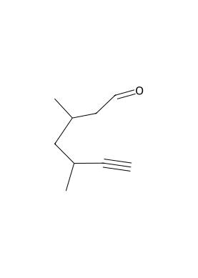 C#CC(C)CC(C)CC=O